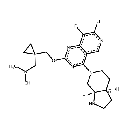 CN(C)CC1(COc2nc(N3CC[C@H]4CCN[C@H]4C3)c3cnc(Cl)c(F)c3n2)CC1